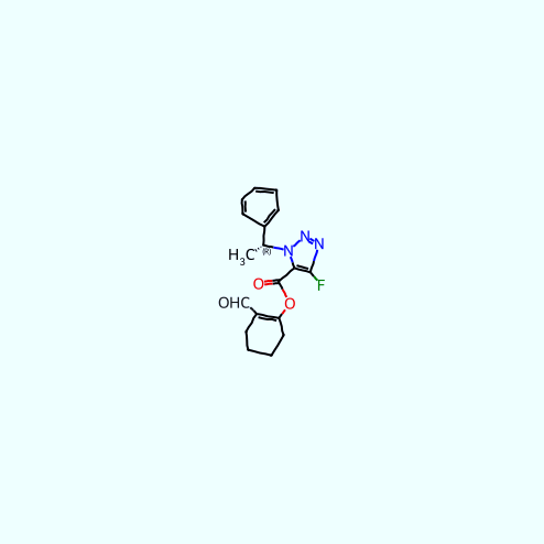 C[C@H](c1ccccc1)n1nnc(F)c1C(=O)OC1=C(C=O)CCCC1